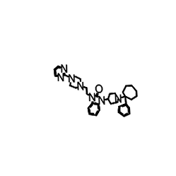 O=c1n(CCN2CCN(c3ncccn3)CC2)c2ccccc2n1C1CCN(C2(c3ccccc3)CCCCCC2)CC1